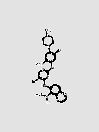 CCc1cc(Nc2ncc(Br)c(Nc3ccc4nccnc4c3N(CC)SC)n2)c(OC)cc1N1CCN(C)CC1